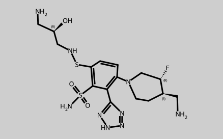 NC[C@@H](O)CNSc1ccc(N2CC[C@H](CN)[C@@H](F)C2)c(-c2nn[nH]n2)c1S(N)(=O)=O